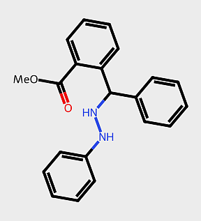 COC(=O)c1ccccc1C(NNc1ccccc1)c1ccccc1